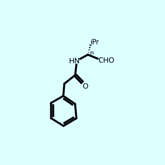 CC(C)[C@H](C=O)NC(=O)Cc1ccccc1